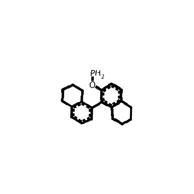 POc1ccc2c(c1-c1cccc3c1CCCC3)CCCC2